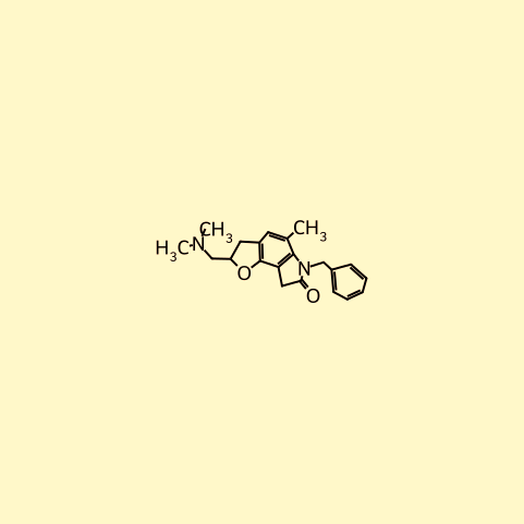 Cc1cc2c(c3c1N(Cc1ccccc1)C(=O)C3)OC(CN(C)C)C2